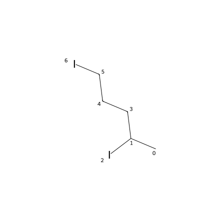 CC(I)CCCI